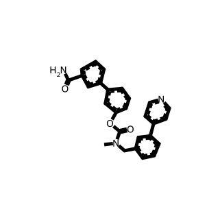 CN(Cc1cccc(-c2ccncc2)c1)C(=O)Oc1cccc(-c2cccc(C(N)=O)c2)c1